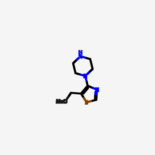 COCc1scnc1N1CCNCC1